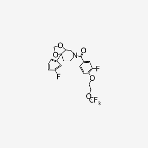 O=C(c1ccc(OCCOC(F)(F)F)c(F)c1)N1CCC2(c3cccc(F)c3)OCOC2C1